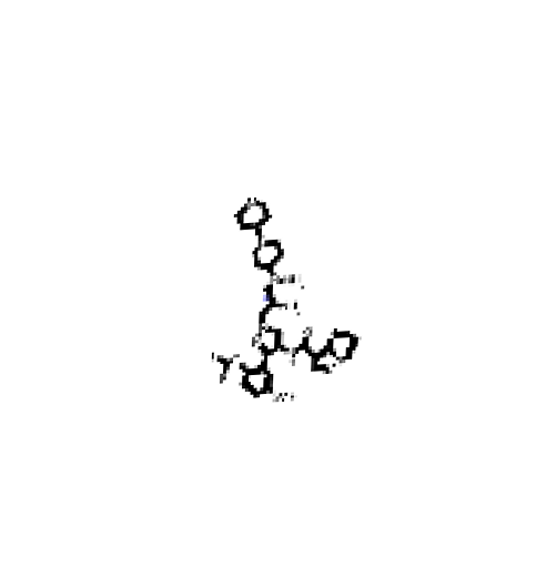 CSc1ccc(OC(F)F)c(-c2nn(C/C(N)=C/N(N)C3CCN(C4CCOCC4)CC3)cc2NC(=O)c2cnn3cccnc23)c1